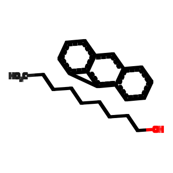 O=C(O)CCCCCCCCO.c1ccc2c3c4c-3cccc4cc2c1